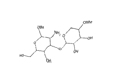 COC1COC(OC2C(N)C(OC)OC(CO)C2O)C(O)C1O